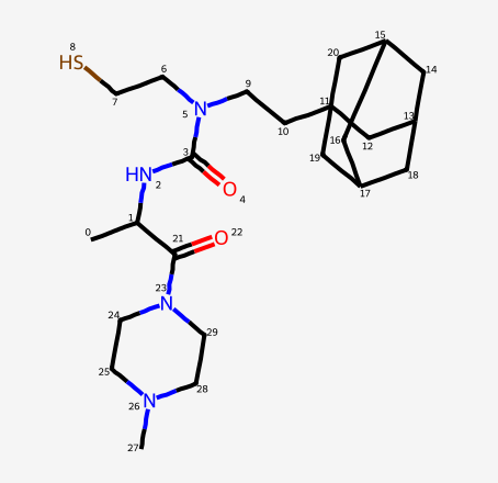 CC(NC(=O)N(CCS)CCC12CC3CC(CC(C3)C1)C2)C(=O)N1CCN(C)CC1